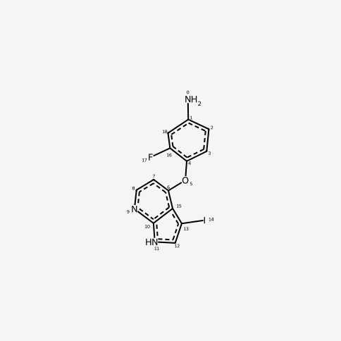 Nc1ccc(Oc2ccnc3[nH]cc(I)c23)c(F)c1